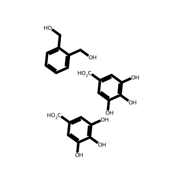 O=C(O)c1cc(O)c(O)c(O)c1.O=C(O)c1cc(O)c(O)c(O)c1.OCc1ccccc1CO